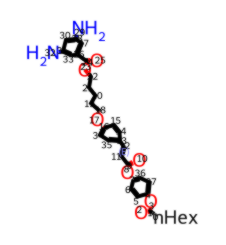 CCCCCCC(=O)Oc1ccc(OC(=O)/C=C/c2ccc(OCCCCCOC(=O)c3cc(N)cc(N)c3)cc2)cc1